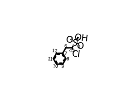 O=S(=O)(O)C(Cl)Cc1ccccc1